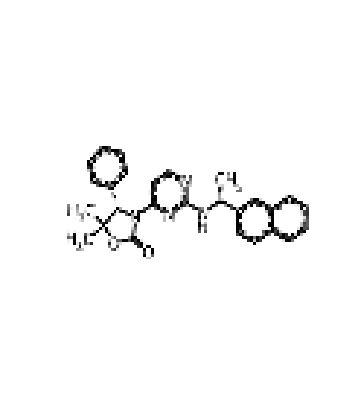 C[C@H](Nc1nccc(N2C(=O)OC(C)(C)[C@@H]2c2ccccc2)n1)c1ccc2ccccc2c1